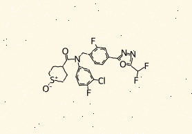 O=C(C1CC[S+]([O-])CC1)N(Cc1ccc(-c2nnc(C(F)F)o2)cc1F)c1ccc(F)c(Cl)c1